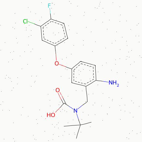 CC(C)(C)N(Cc1cc(Oc2ccc(F)c(Cl)c2)ccc1N)C(=O)O